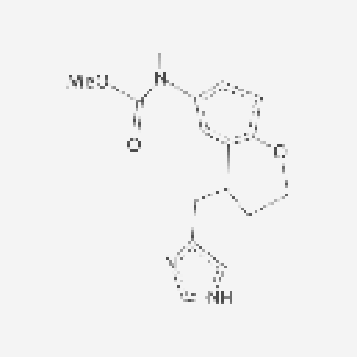 COC(=O)N(C)c1ccc2c(c1)C(Cc1c[nH]cn1)CCO2